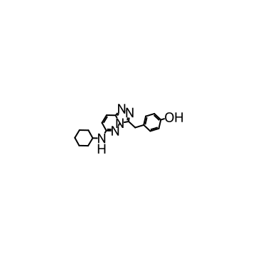 Oc1ccc(Cc2nnc3ccc(NC4CCCCC4)nn23)cc1